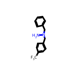 NN(Cc1ccccc1)Cc1ccc(C(F)(F)F)cc1